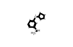 CNc1cccc(OC2CCCC2)c1